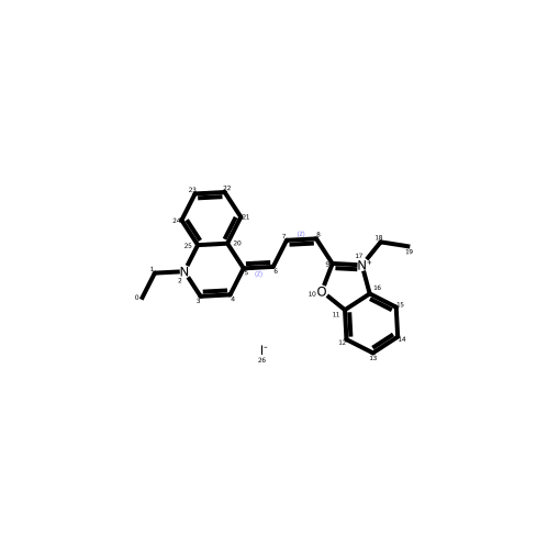 CCN1C=C/C(=C/C=C\c2oc3ccccc3[n+]2CC)c2ccccc21.[I-]